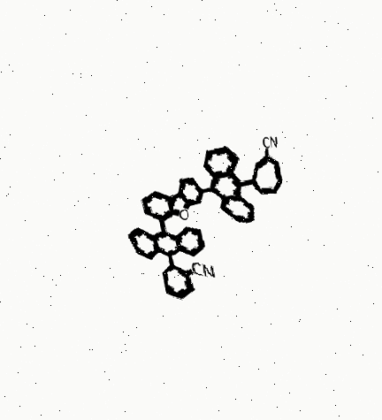 N#CC1=CC(c2c3ccccc3c(-c3ccc4c(c3)oc3c(-c5c6ccccc6c(-c6ccccc6C#N)c6ccccc56)cccc34)c3ccccc23)C=CC=C1